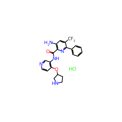 Cl.Nc1cc(C(F)(F)F)c(-c2ccccc2)nc1C(=O)Nc1cnccc1OC1CCNC1